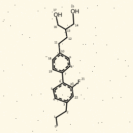 CCCc1ccc(-c2ccc(CCC(CO)CO)cc2)c(F)c1